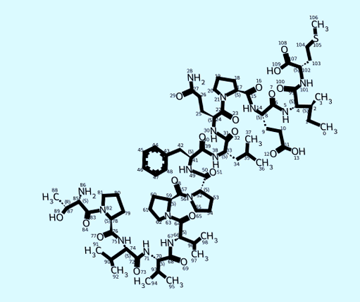 CC[C@H](C)[C@H](NC(=O)[C@H](CCC(=O)O)NC(=O)[C@@H]1CCCN1C(=O)[C@H](CCC(N)=O)NC(=O)[C@H](CC(C)C)NC(=O)[C@H](Cc1ccccc1)NC(=O)[C@@H]1CCCN1C(=O)[C@@H]1CCCN1C(=O)[C@@H](NC(=O)[C@@H](NC(=O)[C@@H](NC(=O)[C@@H]1CCCN1C(=O)[C@@H](N)[C@@H](C)O)C(C)C)C(C)C)C(C)C)C(=O)N[C@@H](CCSC)C(=O)O